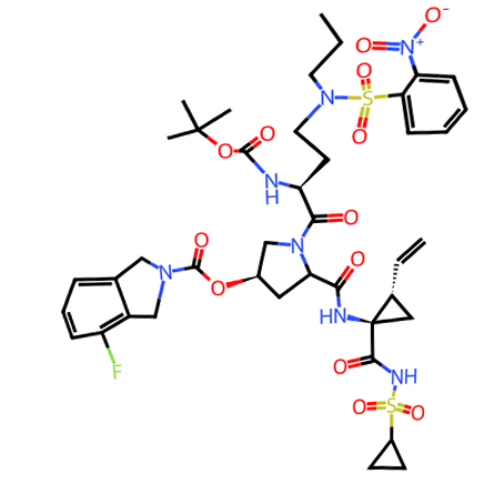 C=C[C@@H]1C[C@]1(NC(=O)C1C[C@@H](OC(=O)N2Cc3cccc(F)c3C2)CN1C(=O)[C@H](CCN(CCC)S(=O)(=O)c1ccccc1[N+](=O)[O-])NC(=O)OC(C)(C)C)C(=O)NS(=O)(=O)C1CC1